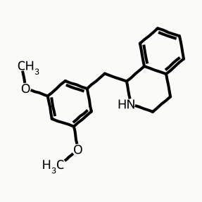 COc1cc(CC2NCCc3ccccc32)cc(OC)c1